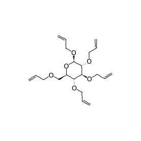 C=CCOC[C@H]1O[C@@H](OCC=C)[C@H](OCC=C)[C@@H](OCC=C)[C@@H]1OCC=C